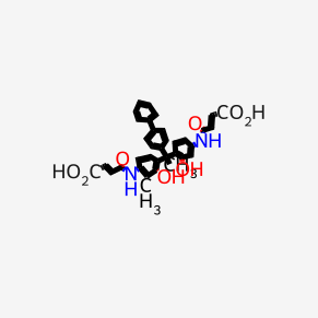 Cc1c(NC(=O)/C=C/C(=O)O)ccc(C(C)(c2ccc(-c3ccccc3)cc2)c2ccc(NC(=O)/C=C/C(=O)O)cc2O)c1O